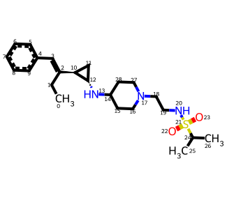 CC/C(=C\c1ccccc1)[C@H]1C[C@@H]1NC1CCN(CCNS(=O)(=O)C(C)C)CC1